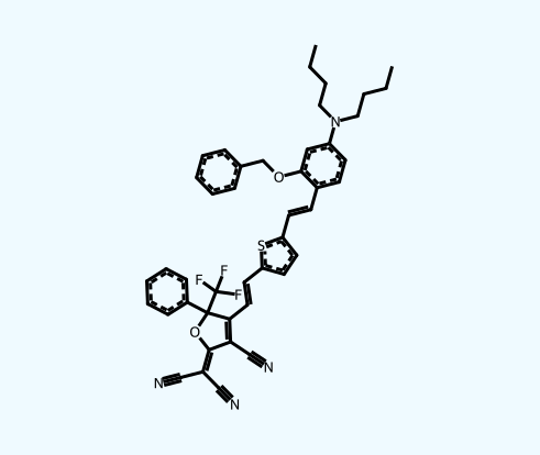 CCCCN(CCCC)c1ccc(/C=C/c2ccc(/C=C/C3=C(C#N)C(=C(C#N)C#N)OC3(c3ccccc3)C(F)(F)F)s2)c(OCc2ccccc2)c1